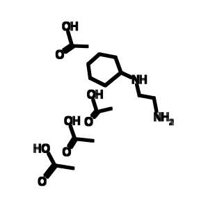 CC(=O)O.CC(=O)O.CC(=O)O.CC(=O)O.NCCNC1CCCCC1